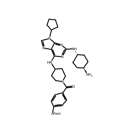 CCCCCc1ccc(C(=O)N2CCC(Nc3nc(N[C@H]4CC[C@H](N)CC4)nc4c3ncn4C3CCCC3)CC2)cc1